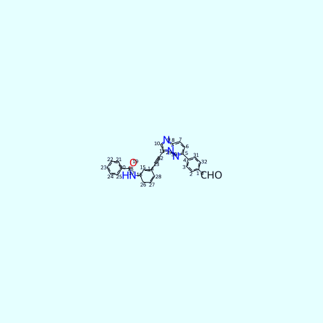 O=Cc1ccc(-c2ccc3ncc(C#CC4=CC(NC(=O)c5ccccc5)CC=C4)n3n2)cc1